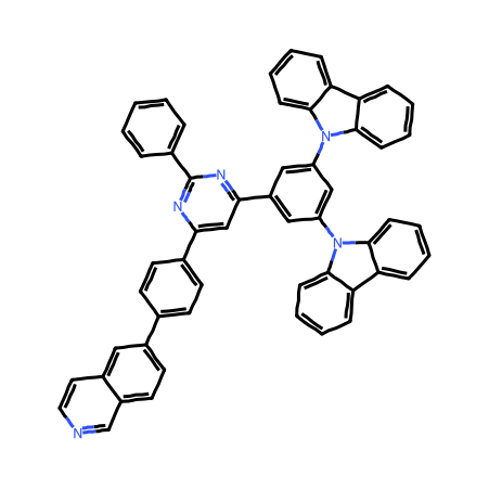 c1ccc(-c2nc(-c3ccc(-c4ccc5cnccc5c4)cc3)cc(-c3cc(-n4c5ccccc5c5ccccc54)cc(-n4c5ccccc5c5ccccc54)c3)n2)cc1